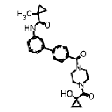 CC1(C(=O)Nc2cccc(-c3ccc(C(=O)N4CCN(C(=O)C5(O)CC5)CC4)cc3)c2)CC1